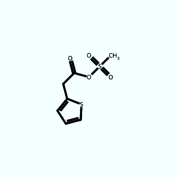 CS(=O)(=O)OC(=O)Cc1cccs1